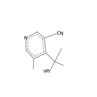 CCCC(C)(C)c1c(C)cncc1C#N